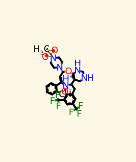 Cc1ccccc1/C1=C/C(N2CCN(S(C)(=O)=O)CC2)OC2=C(CNCN2)C(Cc2cc(C(F)(F)F)cc(C(F)(F)F)c2)[NH+]1[O-]